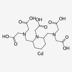 O=C(O)CN(CC(=O)O)CC1CCCC(CN(CC(=O)O)CC(=O)O)N1CC(=O)O.[Gd]